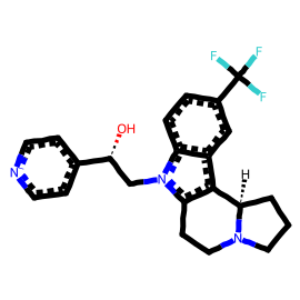 O[C@H](Cn1c2c(c3cc(C(F)(F)F)ccc31)[C@H]1CCCN1CC2)c1ccncc1